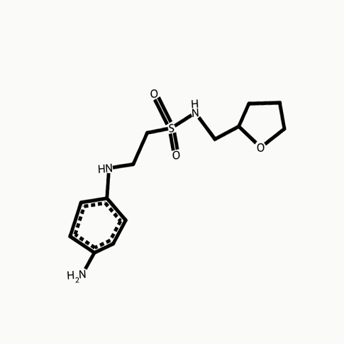 Nc1ccc(NCCS(=O)(=O)NCC2CCCO2)cc1